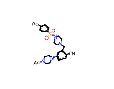 CC(=O)c1ccc(S(=O)(=O)N2CCN(Cc3cc(N4CCN(C(C)=O)CC4)ccc3C#N)CC2)cc1